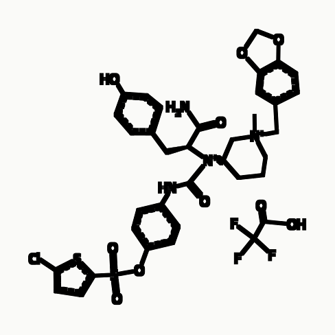 C[N+]1(Cc2ccc3c(c2)OCO3)CCC/C(=[N+](\C(=O)Nc2ccc(OS(=O)(=O)c3ccc(Cl)s3)cc2)[C@@H](Cc2ccc(O)cc2)C(N)=O)C1.O=C(O)C(F)(F)F